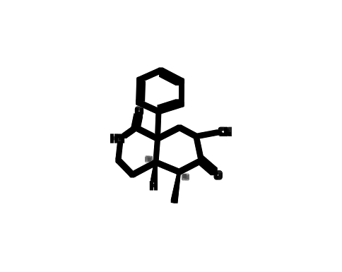 C[C@@H]1C(=O)C(C#N)CC2(c3ccccc3)C(=O)NCC[C@@H]12